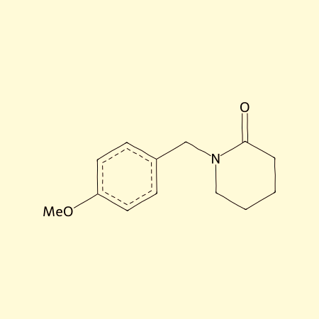 COc1ccc(CN2CCCCC2=O)cc1